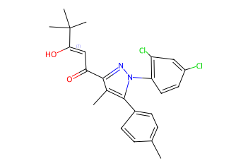 Cc1ccc(-c2c(C)c(C(=O)/C=C(\O)C(C)(C)C)nn2-c2ccc(Cl)cc2Cl)cc1